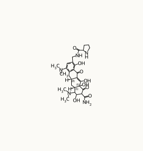 CN(C)c1cc(CNC(=O)C2CCCN2)c(O)c2c1C[C@H]1C[C@H]3C(N(C)C)C(O)C(C(N)=O)C(=O)[C@@]3(O)C(O)=C1C2=O